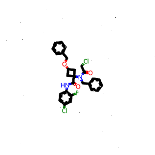 O=C(CCl)N(Cc1ccccc1)C1(C(=O)Nc2ccc(Cl)cc2F)CC(OCc2ccccc2)C1